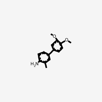 COc1ccc(-c2[c]cc(N)c(C)c2)cc1OC